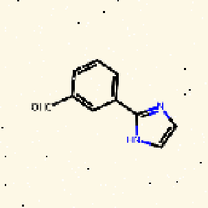 O=Cc1cccc(-c2ncc[nH]2)c1